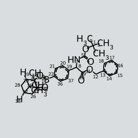 CC(C)(C)OC(=O)NC(C(=O)OCc1ccccc1)c1ccc(B2OC3C[C@@H]4C[C@@H](C4(C)C)[C@]3(C)O2)cc1